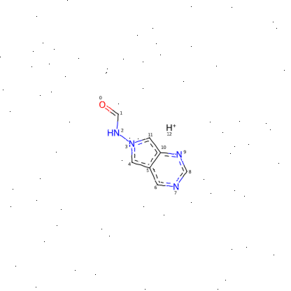 O=CNn1cc2cncnc2c1.[H+]